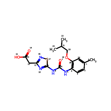 Cc1ccc(NC(=O)Nc2nc(CC(=O)O)ns2)c(OCC(C)C)c1